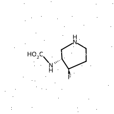 O=C(O)N[C@@H]1CNCC[C@H]1F